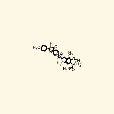 COc1c(N(C)C(N)=O)cc(C)c(CCS(=O)(=O)N2CCC3(CC2)N=C([C@H]2CC[C@H](C)CC2)NC3=O)c1C